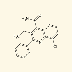 NC(=O)c1c([CH]C(F)(F)F)c(-c2ccccc2)nc2c(Cl)cccc12